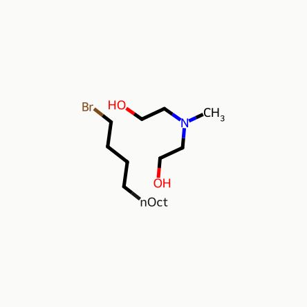 CCCCCCCCCCCCBr.CN(CCO)CCO